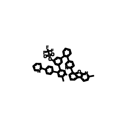 Cc1ccc2c(n1)oc1c(-c3ccc(-c4ccccc4-c4cc(OS(=O)(=O)C(F)(F)F)cc(-c5cc(C)c(C)cc5-c5ccc(-c6ccccn6)cc5)c4)cn3)cccc12